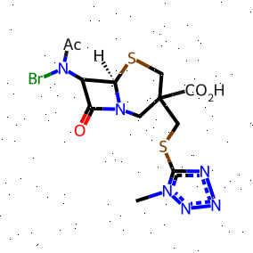 CC(=O)N(Br)C1C(=O)N2CC(CSc3nnnn3C)(C(=O)O)CS[C@H]12